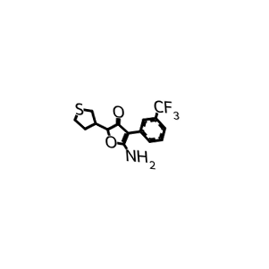 NC1=C(c2cccc(C(F)(F)F)c2)C(=O)C(C2CCSC2)O1